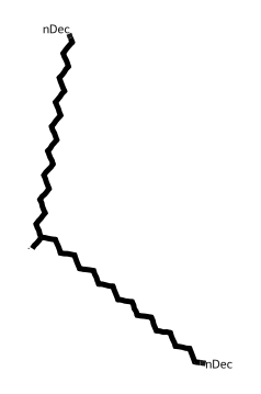 [CH2]C(CCCCCCCCCCCCCCCCCCCCCCCCCC)CCCCCCCCCCCCCCCCCCCCCCCCCC